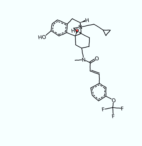 CN(C(=O)/C=C/c1cccc(OC(F)(F)F)c1)C1CC[C@@]2(O)[C@H]3Cc4ccc(O)cc4[C@@]2(CCN3CC2CC2)C1